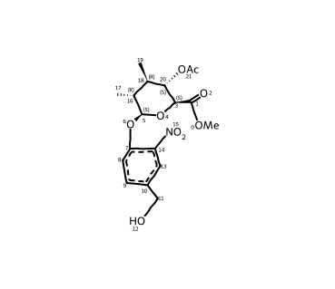 COC(=O)[C@H]1O[C@@H](Oc2ccc(CO)cc2[N+](=O)[O-])[C@H](C)[C@@H](C)[C@@H]1OC(C)=O